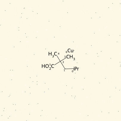 CC(C)CC(C)(C)C(=O)O.[Cu]